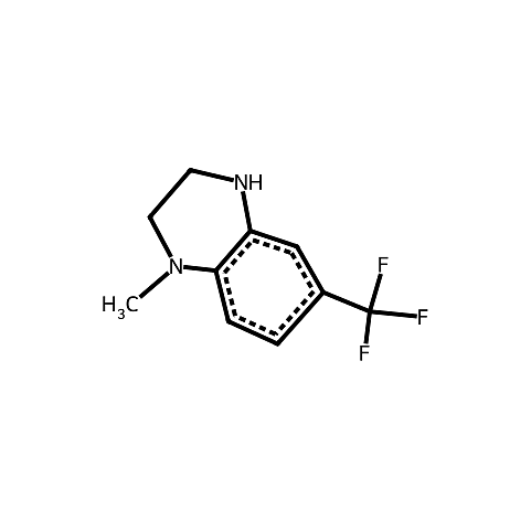 CN1CCNc2cc(C(F)(F)F)ccc21